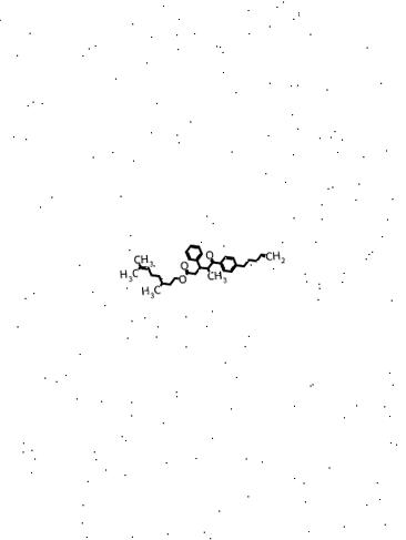 C=CCCCc1ccc(C(=O)C(C)C(CC(=O)OCCC(C)CCC=C(C)C)c2ccccc2)cc1